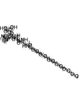 COCCOCCOCCOCCOCCOCCOCCOCCOCCOCCOCCOCCC(=O)NCCCC[C@H](N)C(=O)NCCC(=O)Nc1cc(C[N+]2(C)CCCC[C@@H]2C(N)=O)ccc1O[C@H]1C[C@@H](O)C[C@@H](C(=O)O)O1